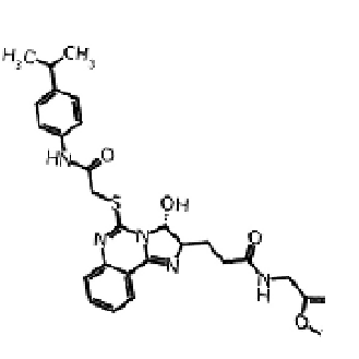 CC(C)c1ccc(NC(=O)CSC2=Nc3ccccc3C3=NC(CCC(=O)NCc4ccco4)[C@@H](O)N23)cc1